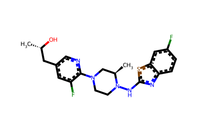 C[C@H](O)Cc1cnc(N2CCN(Nc3nc4ccc(F)cc4s3)[C@H](C)C2)c(F)c1